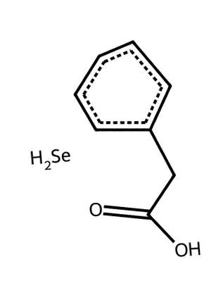 O=C(O)Cc1ccccc1.[SeH2]